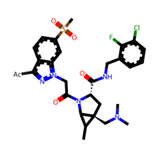 CC(=O)c1nn(CC(=O)N2C3C(C)[C@@]3(CN(C)C)C[C@H]2C(=O)NCc2cccc(Cl)c2F)c2cc(S(C)(=O)=O)ccc12